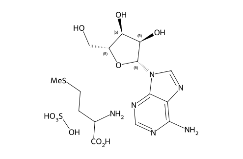 CSCCC(N)C(=O)O.Nc1ncnc2c1ncn2[C@@H]1O[C@H](CO)[C@@H](O)[C@H]1O.O=S(=O)(O)O